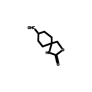 O=CC1CCC2(CC1)COC(=O)N2